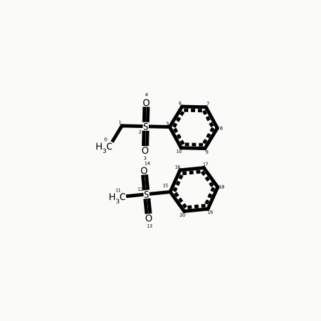 CCS(=O)(=O)c1ccccc1.CS(=O)(=O)c1ccccc1